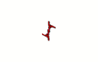 CCCCCCc1ccc(N(c2ccc(/C=C/c3ccc4cc(/C=C/c5ccc(N(c6ccc(CCCCCC)cc6)c6ccc(CCCCCC)cc6)cc5)ccc4c3)cc2)c2ccc(CCCCCC)cc2)cc1